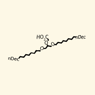 CCCCCCCCCCCCCCCCCCOCC(COCCCCCCCCCCCCCCCCCC)OCC(=O)O